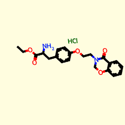 CCOC(=O)C(N)Cc1ccc(OCCN2COc3ccccc3C2=O)cc1.Cl